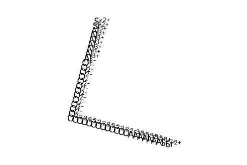 [Al+3].[Al+3].[Al+3].[Al+3].[Al+3].[Al+3].[Al+3].[Al+3].[Al+3].[Al+3].[Al+3].[Al+3].[Al+3].[Al+3].[O-2].[O-2].[O-2].[O-2].[O-2].[O-2].[O-2].[O-2].[O-2].[O-2].[O-2].[O-2].[O-2].[O-2].[O-2].[O-2].[O-2].[O-2].[O-2].[O-2].[O-2].[O-2].[O-2].[O-2].[O-2].[Sr+2].[Sr+2].[Sr+2].[Sr+2]